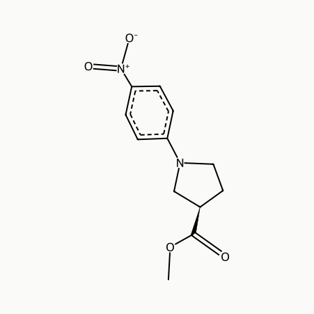 COC(=O)[C@@H]1CCN(c2ccc([N+](=O)[O-])cc2)C1